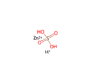 O=S(=O)(O)O.[H+].[Zn+2]